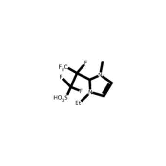 CCN1C=CN(C)C1C(F)(C(F)(F)F)C(F)(F)S(=O)(=O)O